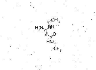 CCNC(=O)/C=C(/N)NCC